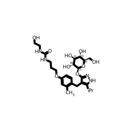 Cc1cc(OCCCNC(=O)NCCO)ccc1Cc1c(O[C@@H]2O[C@H](CO)[C@@H](O)[C@H](O)[C@H]2O)n[nH]c1C(C)C